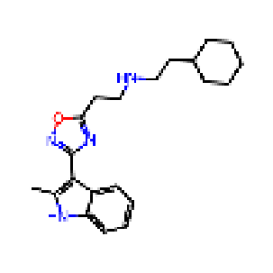 Cc1[nH]c2ccccc2c1-c1noc(CCNCCC2CCCCC2)n1